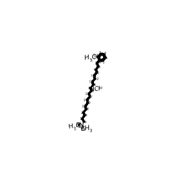 Cc1ccccc1CCCCCCCCCCCCCCCCCCCCN(C)C.Cl